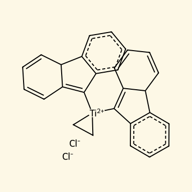 C1=CC2=[C]([Ti+2]3([C]4=C5C=CC=CC5c5ccccc54)[CH2][CH2]3)c3ccccc3C2C=C1.[Cl-].[Cl-]